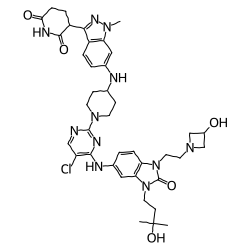 Cn1nc(C2CCC(=O)NC2=O)c2ccc(NC3CCN(c4ncc(Cl)c(Nc5ccc6c(c5)n(CCC(C)(C)O)c(=O)n6CCN5CC(O)C5)n4)CC3)cc21